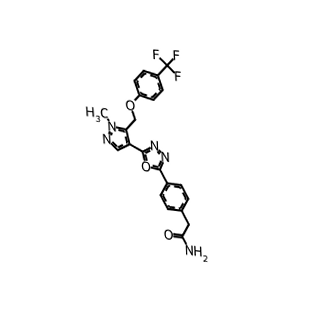 Cn1ncc(-c2nnc(-c3ccc(CC(N)=O)cc3)o2)c1COc1ccc(C(F)(F)F)cc1